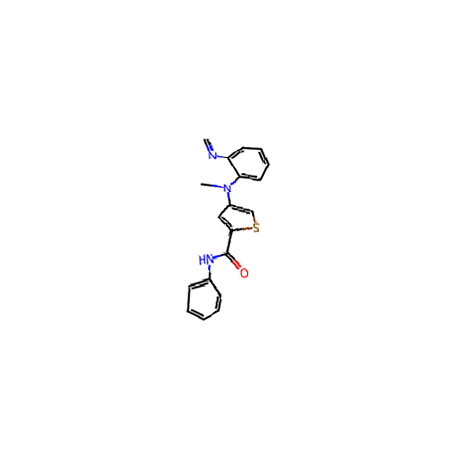 C=Nc1ccccc1N(C)c1csc(C(=O)Nc2ccccc2)c1